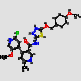 COc1cnc(Cl)cc1-c1cc(C)ncc1C(=O)Nc1nnc(OCC2CCC(OC)CC2)s1